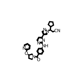 N#CCC(C1CCCC1)n1cc(-c2ccnc(Nc3ccc(C(=O)N4CCC(Oc5ccccn5)C4)cc3)n2)cn1